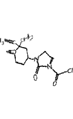 CC1(C)CC(N2CCN(C(=O)Cl)C2=O)CCO1